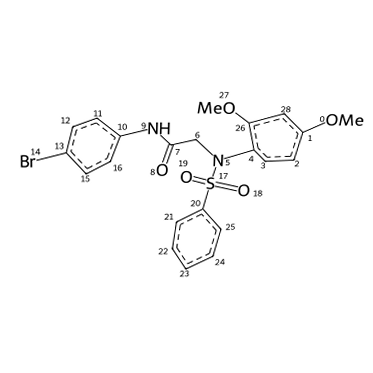 COc1ccc(N(CC(=O)Nc2ccc(Br)cc2)S(=O)(=O)c2ccccc2)c(OC)c1